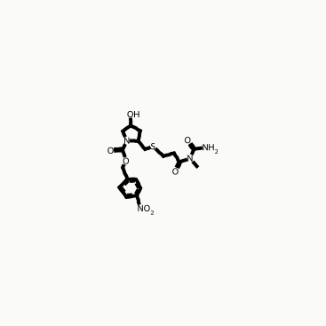 CN(C(N)=O)C(=O)CCSCC1CC(O)CN1C(=O)OCc1ccc([N+](=O)[O-])cc1